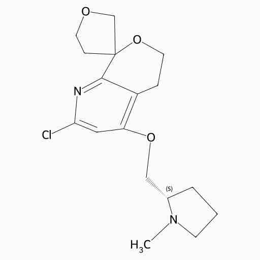 CN1CCC[C@H]1COc1cc(Cl)nc2c1CCOC21CCOC1